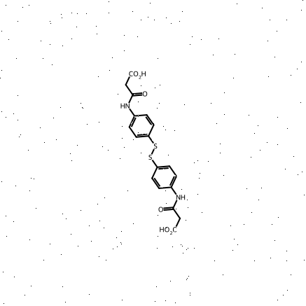 O=C(O)CC(=O)Nc1ccc(SSc2ccc(NC(=O)CC(=O)O)cc2)cc1